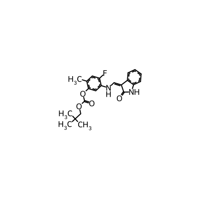 Cc1cc(F)c(N/C=C2\C(=O)Nc3ccccc32)cc1OC(=O)OCC(C)(C)C